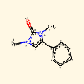 CC(C)n1cc(-c2ccccc2)n(C)c1=O